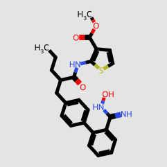 CCCC(Cc1ccc(-c2ccccc2C(=N)NO)cc1)C(=O)Nc1sccc1C(=O)OC